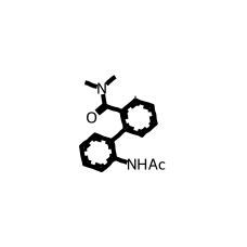 CC(=O)Nc1ccccc1-c1ccc[c]c1C(=O)N(C)C